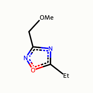 CCc1nc(COC)no1